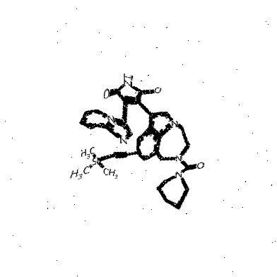 C[Si](C)(C)C#Cc1cc2c3c(c1)c(C1=C(c4cnc5ccccn45)C(=O)NC1=O)cn3CCN(C(=O)N1CCCCC1)C2